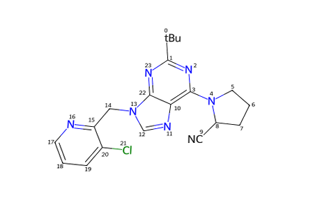 CC(C)(C)c1nc(N2CCCC2C#N)c2ncn(Cc3ncccc3Cl)c2n1